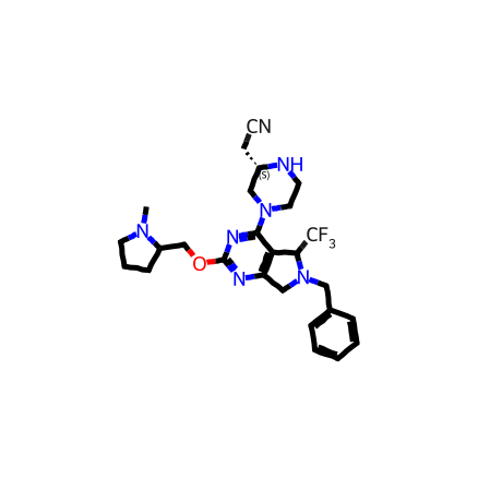 CN1CCCC1COc1nc2c(c(N3CCN[C@@H](CC#N)C3)n1)C(C(F)(F)F)N(Cc1ccccc1)C2